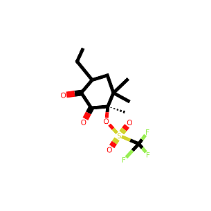 CCC1CC(C)(C)[C@@](C)(OS(=O)(=O)C(F)(F)F)C(=O)C1=O